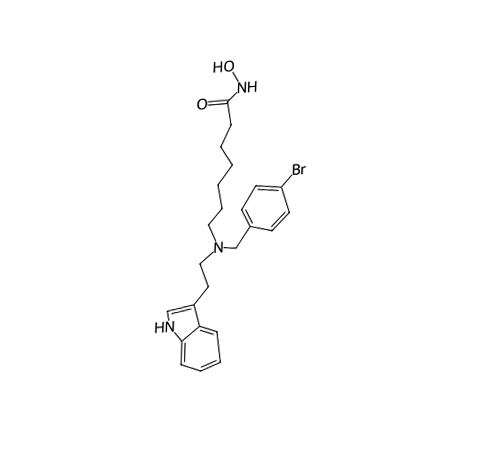 O=C(CCCCCCN(CCc1c[nH]c2ccccc12)Cc1ccc(Br)cc1)NO